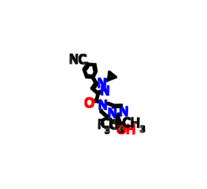 CC1CN(C(=O)c2cc(-c3ccc(C#N)cc3)n(C3CC3)n2)Cc2cnc(C(C)(O)C(F)(F)F)n21